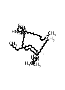 CCCCC/C=C\C/C=C\CCCCCCCCC1(CCCCCCCCC(=C\C/C=C\CCCCC)/C(=C/C/C=C\CCCCC)CCCCCCCCC2(CCCCCCCCCCCC)O[C@H]3C[C@H](N(C)C)C[C@H]3O2)O[C@H]2[C@H](O)[C@H](O)CN(C)C[C@H]2O1